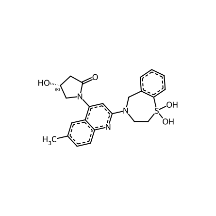 Cc1ccc2nc(N3CCS(O)(O)c4ccccc4C3)cc(N3C[C@H](O)CC3=O)c2c1